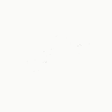 CC(=O)C(CO)NC(=O)Oc1cccc(CCO[N+](=O)[O-])c1